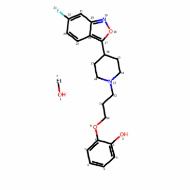 CCO.Oc1ccccc1OCCCN1CCC(c2onc3cc(F)ccc23)CC1